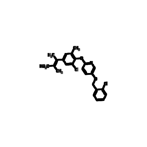 CC(C(=O)O)=C(C)c1cc(C)c(Oc2ccc(OCc3ccccc3Cl)cn2)c(Cl)c1